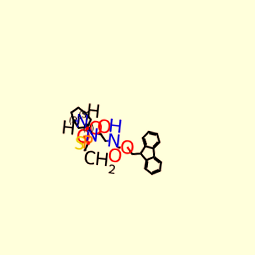 C=CCOC(=O)N1[C@@H]2CC[C@H]1C[C@@H](N(P=S)C(=O)CNC(=O)OCC1c3ccccc3-c3ccccc31)C2